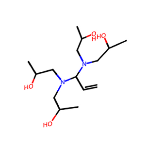 C=CC(N(CC(C)O)CC(C)O)N(CC(C)O)CC(C)O